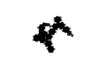 C=Cc1ccc(CCCC2(c3ccccc3)c3ccccc3-c3ccc(N(c4ccc(-c5ccccc5)cc4)c4ccc(-c5ccc(-c6ccc7c(c6)c6cc(-c8ccc(C=C)cc8)ccc6n7-c6ccccc6)cc5)cc4)cc32)cc1